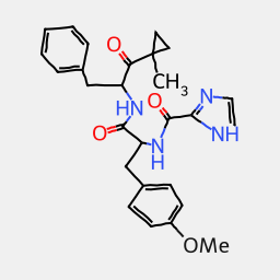 COc1ccc(CC(NC(=O)c2ncc[nH]2)C(=O)NC(Cc2ccccc2)C(=O)C2(C)CC2)cc1